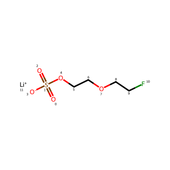 O=S(=O)([O-])OCCOCCF.[Li+]